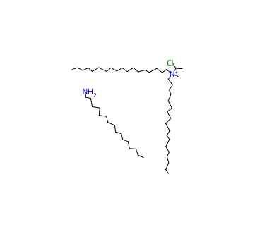 CCCCCCCCCCCCCCCCCC[N+](C)(CCCCCCCCCCCCCCCCCC)C(C)Cl.CCCCCCCCCCCCCCCCN